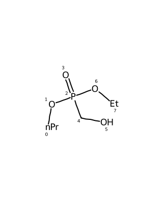 CCCOP(=O)(CO)OCC